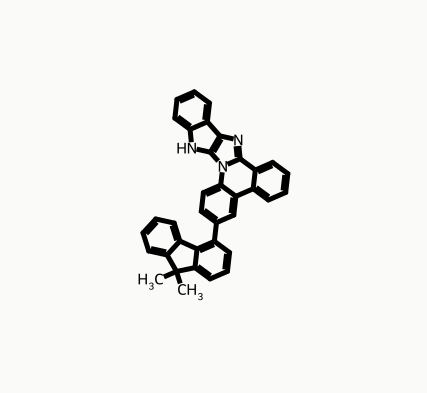 CC1(C)c2ccccc2-c2c(-c3ccc4c(c3)c3ccccc3c3nc5c6ccccc6[nH]c5n43)cccc21